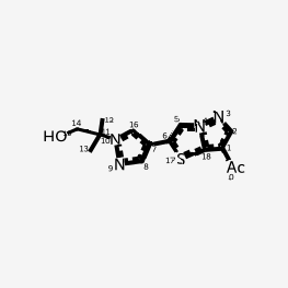 CC(=O)c1cnn2cc(-c3cnn(C(C)(C)CO)c3)sc12